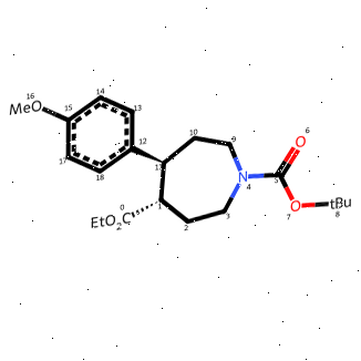 CCOC(=O)[C@H]1CCN(C(=O)OC(C)(C)C)CC[C@@H]1c1ccc(OC)cc1